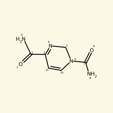 NC(=O)C1=NCN(C(N)=O)C=C1